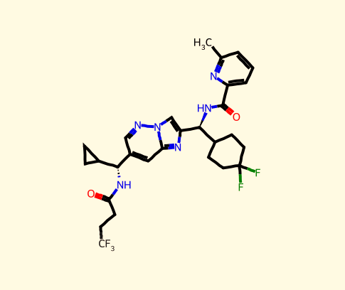 Cc1cccc(C(=O)N[C@H](c2cn3ncc([C@H](NC(=O)CCC(F)(F)F)C4CC4)cc3n2)C2CCC(F)(F)CC2)n1